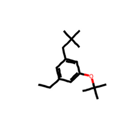 CCc1cc(CC(C)(C)C)cc(OC(C)(C)C)c1